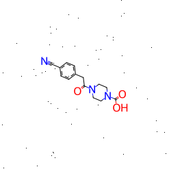 N#Cc1ccc(CC(=O)N2CCN(C(=O)O)CC2)cc1